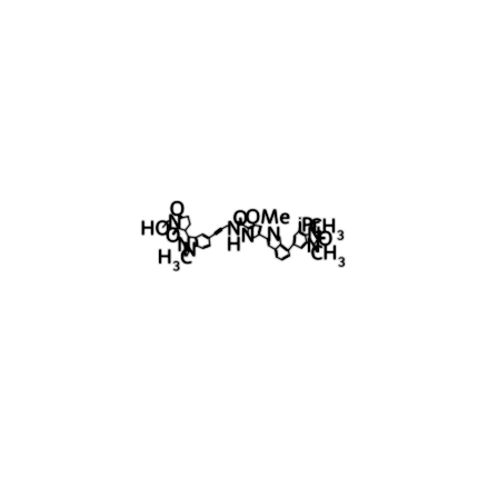 COc1cc(-c2cc3cccc(-c4cc(C(C)C)c5c(c4)n(C)c(=O)n5C)c3cn2)cnc1C(=O)NCC#Cc1ccc2c(c1)c(C1CCC(=O)N(CO)C1=O)nn2C